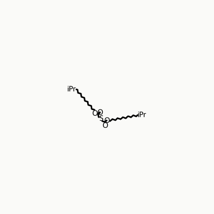 CC(C)CCCCCCCCCCCOC(=O)CSCC(=O)OCCCCCCCCCCCC(C)C